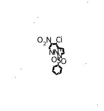 O=[N+]([O-])c1cn[n+]2c(ccn2S(=O)(=O)c2ccccc2)c1Cl